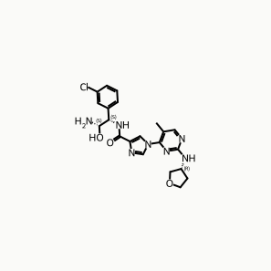 Cc1cnc(N[C@@H]2CCOC2)nc1-n1cnc(C(=O)N[C@@H](c2cccc(Cl)c2)[C@@H](N)O)c1